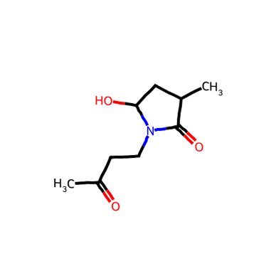 CC(=O)CCN1C(=O)C(C)CC1O